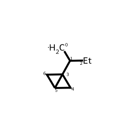 [CH2]C(CC)C12CC1C2